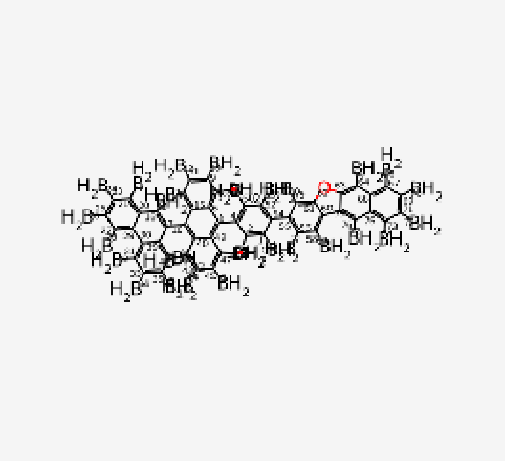 Bc1c(B)c(-c2c3c(B)c(B)c(B)c(B)c3c(-c3c(B)c4c(B)c(B)c(B)c(B)c4c4c(B)c(B)c(B)c(B)c34)c3c(B)c(B)c(B)c(B)c23)c(B)c(B)c1-c1c(B)c(B)c2c(oc3c(B)c4c(B)c(B)c(B)c(B)c4c(B)c32)c1B